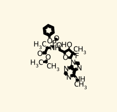 CNc1ncnc2c1ncn2[C@@H]1OC(COP(=O)(NC(C)C(=O)OC(C)C)Oc2ccccc2)[C@@H](O)[C@@]1(C)F